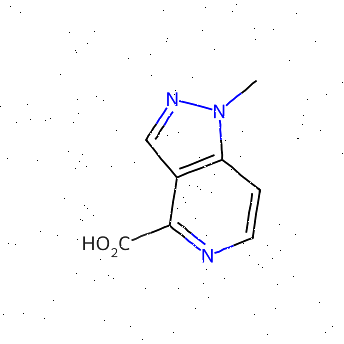 Cn1ncc2c(C(=O)O)nccc21